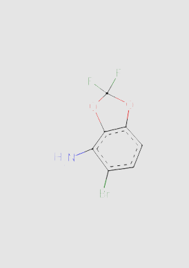 Nc1c(Br)ccc2c1OC(F)(F)O2